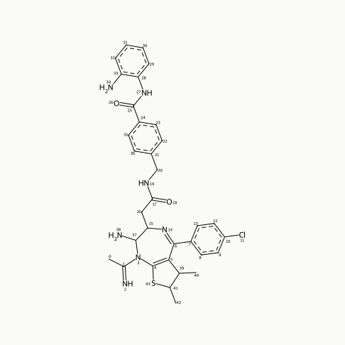 CC(=N)N1C2=C(C(c3ccc(Cl)cc3)=NC(CC(=O)NCc3ccc(C(=O)Nc4ccccc4N)cc3)C1N)C(C)C(C)S2